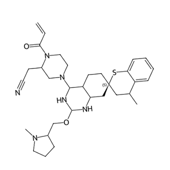 C=CC(=O)N1CCN(C2NC(OCC3CCCN3C)NC3C[C@]4(CCC32)CC(C)c2ccccc2S4)CC1CC#N